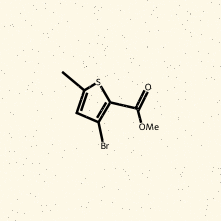 COC(=O)c1sc(C)cc1Br